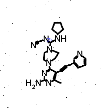 Cc1nc(N)nc(N2CCN(/C(=N\C#N)NC3CCCC3)CC2)c1C#Cc1cccnc1